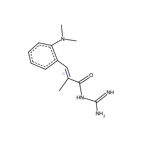 C/C(=C\c1ccccc1N(C)C)C(=O)NC(=N)N